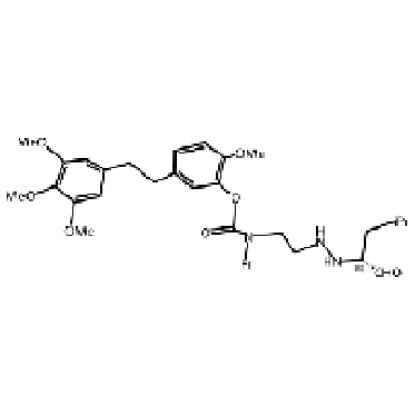 CCN(CCNN[C@@H](C=O)CC(C)C)C(=O)Oc1cc(CCc2cc(OC)c(OC)c(OC)c2)ccc1OC